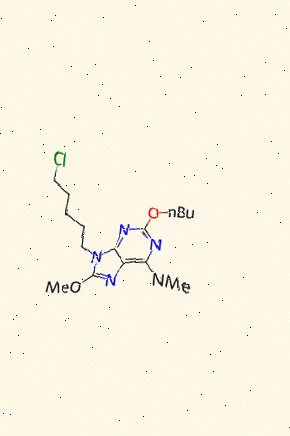 CCCCOc1nc(NC)c2nc(OC)n(CCCCCCl)c2n1